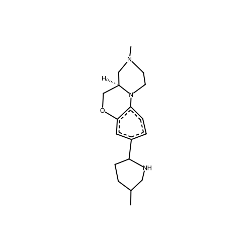 CC1CCC(c2ccc3c(c2)OC[C@H]2CN(C)CCN32)NC1